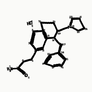 Cl.NC(=O)CCc1ccc2c(c1)C(Cc1ccccc1)C(N1CCCC1)CC2